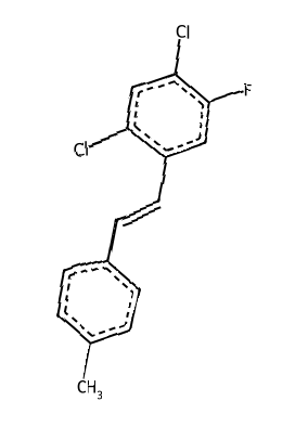 Cc1ccc(/C=C/c2cc(F)c(Cl)cc2Cl)cc1